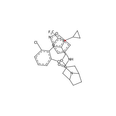 O=C(Nc1ccc(C(F)(F)F)cc1)N1C2CCC1CC(OCc1c(-c3c(Cl)cccc3Cl)noc1C1CC1)C2